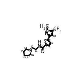 Cn1nc(-c2ccc(C(=O)NCCN3CCCCC3)s2)cc1C(F)(F)F